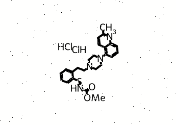 COC(=O)NSc1ccccc1CCN1CCN(c2cccc3nc(C)ccc23)CC1.Cl.Cl